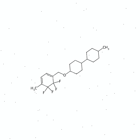 CC1=CC=C(COC2CCC(C3CCC(C)CC3)CC2)C(F)(F)C1(F)F